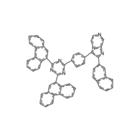 c1ccc2cc(-c3nc4cnccn4c3-c3ccc(-c4nc(-c5cc6ccccc6c6ccccc56)nc(-c5cc6ccccc6c6ccccc56)n4)cc3)ccc2c1